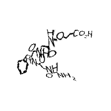 NCC(=O)NCC(=O)N[C@@H](Cc1ccccc1)C(=O)NCC(=O)NCOCCC(=O)O